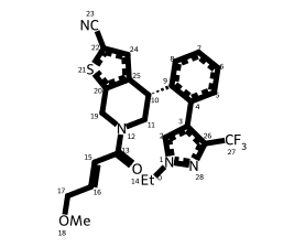 CCn1cc(-c2ccccc2[C@@H]2CN(C(=O)/C=C/COC)Cc3sc(C#N)cc32)c(C(F)(F)F)n1